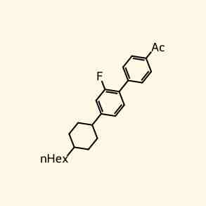 CCCCCCC1CCC(c2ccc(-c3ccc(C(C)=O)cc3)c(F)c2)CC1